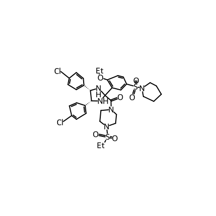 CCOc1ccc(S(=O)(=O)N2CCCCC2)cc1C1(C(=O)N2CCN(S(=O)(=O)CC)CC2)N[C@H](c2ccc(Cl)cc2)[C@H](c2ccc(Cl)cc2)N1